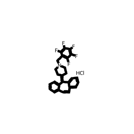 Cl.Fc1c(F)c(F)c(CN2CCC(=C3c4ccccc4C=Cc4ccccc43)CC2)c(F)c1F